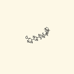 COc1cc(-c2cnc(-c3nc4sc(N(C)C5C[C@]6(C)CC[C@](C)(C5)N6)nc4s3)cn2)ncn1